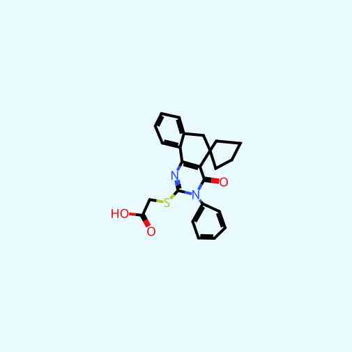 O=C(O)CSc1nc2c(c(=O)n1-c1ccccc1)C1(CCCC1)Cc1ccccc1-2